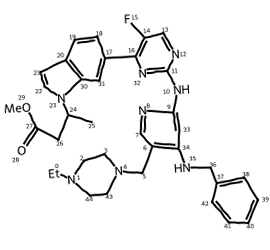 CCN1CCN(Cc2cnc(Nc3ncc(F)c(-c4ccc5ccn(C(C)CC(=O)OC)c5c4)n3)cc2NCc2ccccc2)CC1